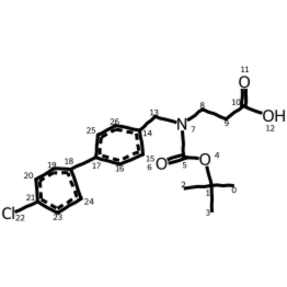 CC(C)(C)OC(=O)N(CCC(=O)O)Cc1ccc(-c2ccc(Cl)cc2)cc1